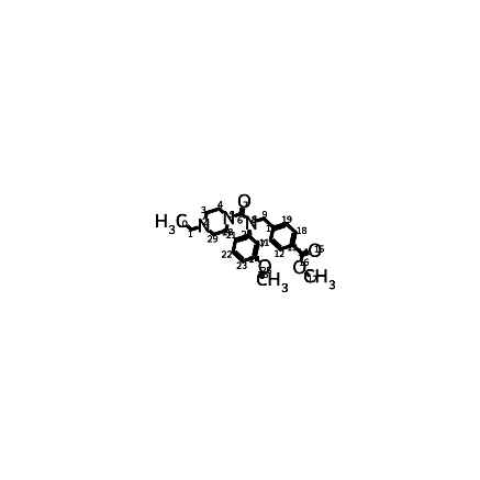 CCN1CCN(C(=O)N(Cc2ccc(C(=O)OC)cc2)c2cccc(OC)c2)CC1